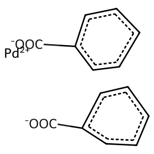 O=C([O-])c1ccccc1.O=C([O-])c1ccccc1.[Pd+2]